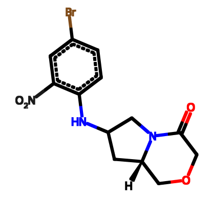 O=C1COC[C@@H]2CC(Nc3ccc(Br)cc3[N+](=O)[O-])CN12